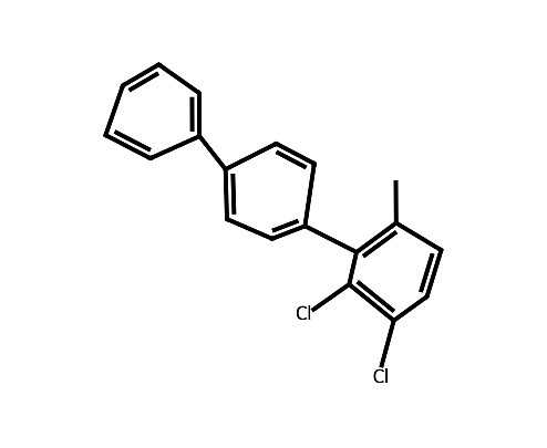 Cc1ccc(Cl)c(Cl)c1-c1ccc(-c2ccccc2)cc1